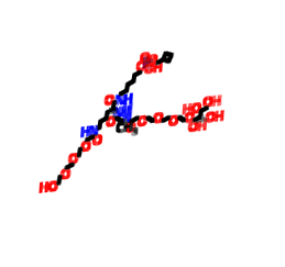 C[C@H](NC(=O)COCCOCCOCCOC(O)[C@@H](CO)C(O)CO)C(=O)N[C@@H](CCCCNC(=O)COCCOCCOCCO)C(=O)NCCCCCCOP(=O)(O)OCC1CCC1